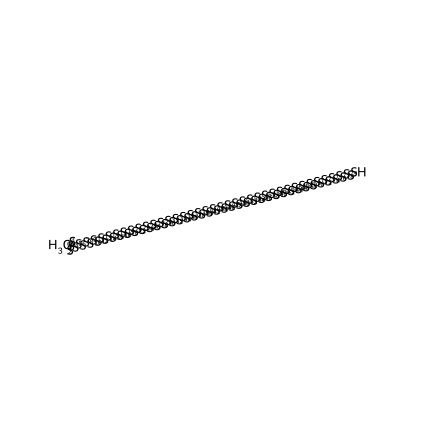 CS(=S)(=S)SSSSSSSSSSSSSSSSSSSSSSSSSSSSSSSSSSSSSSSSSSSSSSSSSSSSSSSSSSSSSSSSSSSSSSSSSSSS